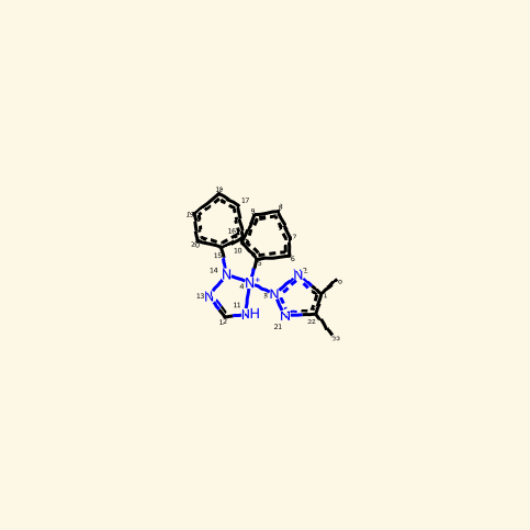 Cc1nn([N+]2(c3ccccc3)NC=NN2c2ccccc2)nc1C